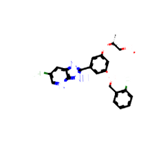 COC[C@H](C)Oc1cc(OCc2ccccc2F)cc(-c2nc3cc(Br)cnc3[nH]2)c1